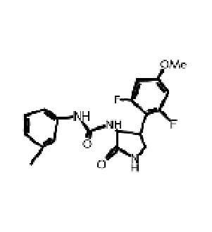 COc1cc(F)c(C2CNC(=O)C2NC(=O)Nc2cccc(C)c2)c(F)c1